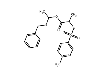 Cc1ccc(S(=O)(=O)OC(C)C(=O)OC(C)OCc2ccccc2)cc1